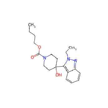 CCCCOC(=O)N1CCC(O)(c2c3ccccc3nn2CC)CC1